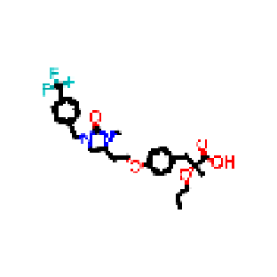 CCCOC(C)(Cc1ccc(OCCC2CN(Cc3ccc(C(F)(F)F)cc3)C(=O)N2C)cc1)C(=O)O